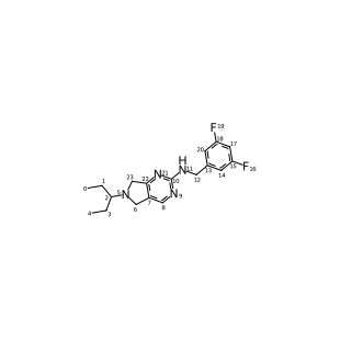 CCC(CC)N1Cc2cnc(NCc3cc(F)cc(F)c3)nc2C1